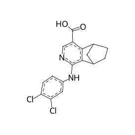 O=C(O)c1cnc(Nc2ccc(Cl)c(Cl)c2)c2c1C1CCC2C1